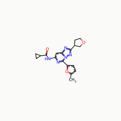 Cc1ccc(-c2nc(NC(=O)C3CC3)cc3nc(C4CCOC4)nn23)o1